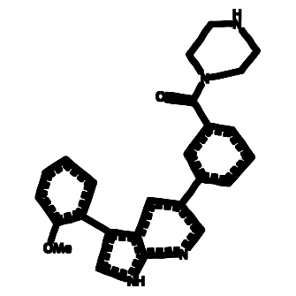 COc1ccccc1-c1c[nH]c2ncc(-c3cccc(C(=O)N4CCNCC4)c3)cc12